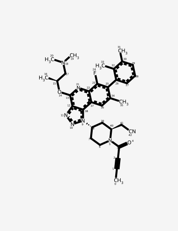 CC#CC(=O)N1CC[C@H](n2nnc3c(O[C@@H](C)CN(C)C)nc4c(F)c(-c5cccc(C)c5C)c(C)cc4c32)C[C@H]1CC#N